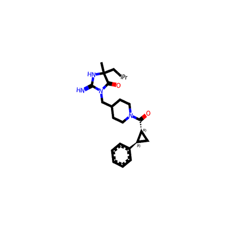 CC(C)CC1(C)NC(=N)N(CC2CCN(C(=O)[C@@H]3C[C@H]3c3ccccc3)CC2)C1=O